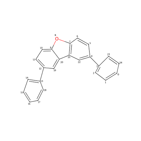 c1ccc(-c2ccc3oc4ccc(-c5ccccc5)cc4c3c2)cc1